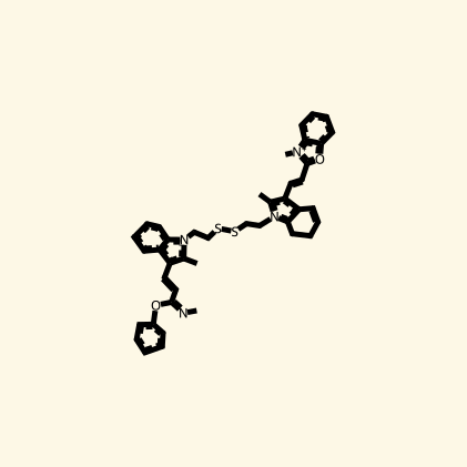 C/N=C(\C=C\c1c(C)n(CCSSCCn2c(C)c(/C=C/c3oc4ccccc4[n+]3C)c3c2CCC=C3)c2ccccc12)Oc1ccccc1